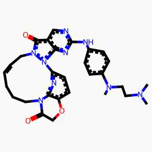 CN(C)CCN(C)c1ccc(Nc2ncc3c(=O)n4n(c3n2)-c2ccc3c(n2)N(CCC/C=C\C4)C(=O)CO3)cc1